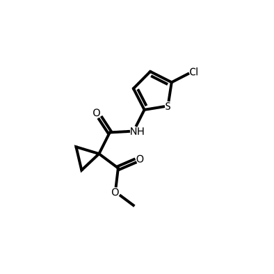 COC(=O)C1(C(=O)Nc2ccc(Cl)s2)CC1